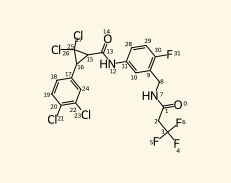 O=C(CC(F)(F)F)NCc1cc(NC(=O)C2C(c3ccc(Cl)c(Cl)c3)C2(Cl)Cl)ccc1F